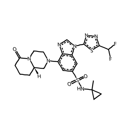 CC1(NS(=O)(=O)c2cc(N3CCN4C(=O)CCC[C@H]4C3)c3ncn(-c4nnc(C(F)F)s4)c3c2)CC1